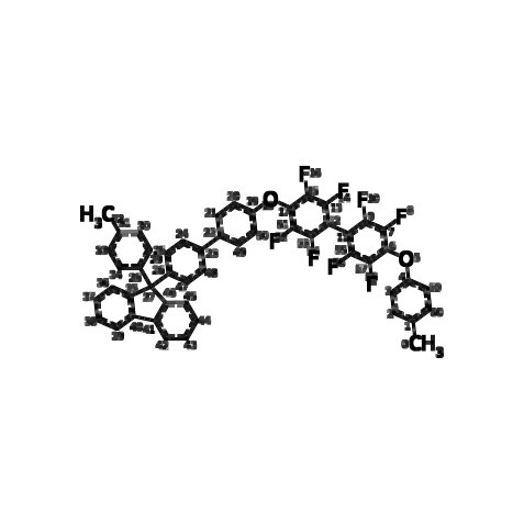 Cc1ccc(Oc2c(F)c(F)c(-c3c(F)c(F)c(Oc4ccc(-c5ccc(C6(c7ccc(C)cc7)c7ccccc7-c7ccccc76)cc5)cc4)c(F)c3F)c(F)c2F)cc1